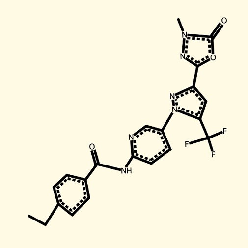 CCc1ccc(C(=O)Nc2ccc(-n3nc(-c4nn(C)c(=O)o4)cc3C(F)(F)F)cn2)cc1